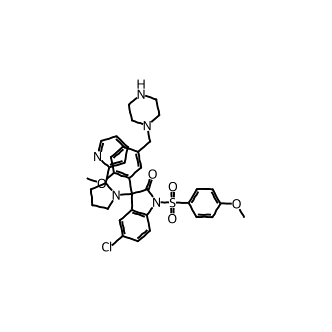 COc1ccc(S(=O)(=O)N2C(=O)C(c3cc(CN4CCNCC4)ccc3OC)(N3CCCC3c3ccccn3)c3cc(Cl)ccc32)cc1